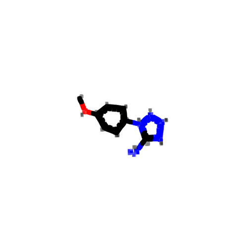 COc1ccc(-n2nnnc2N)cc1